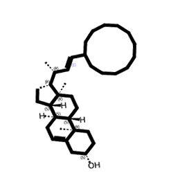 C[C@H](/C=C/C1CCCCCCCCCCC1)[C@H]1CC[C@H]2[C@@H]3CC=C4C[C@@H](O)CC[C@]4(C)[C@H]3CC[C@]12C